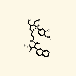 CC(C)CN(C(CO)CCCCNC(=O)C(C(N)=O)c1ccc2ccccc2c1)S(=O)(=O)c1ccc(N)c(Cl)c1